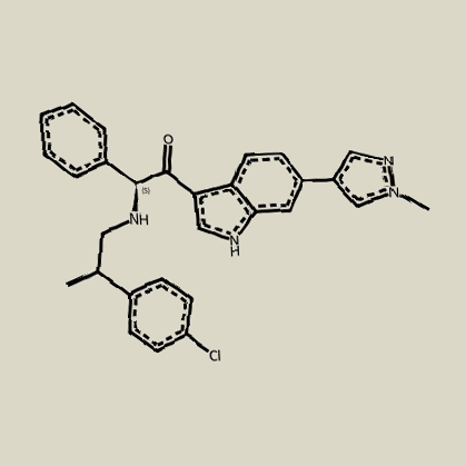 CC(CN[C@H](C(=O)c1c[nH]c2cc(-c3cnn(C)c3)ccc12)c1ccccc1)c1ccc(Cl)cc1